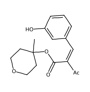 CC(=O)C(=Cc1cccc(O)c1)C(=O)OC1(C)CCOCC1